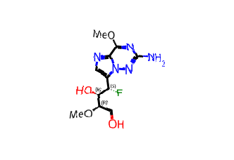 COc1nc(N)nn2c([C@H](F)[C@H](O)[C@@H](CO)OC)cnc12